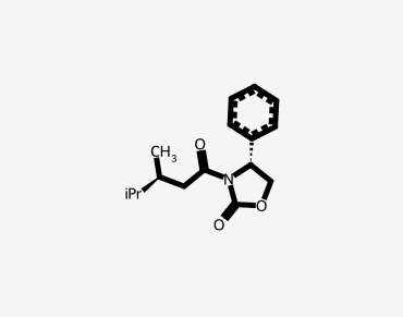 CC(C)[C@@H](C)CC(=O)N1C(=O)OC[C@H]1c1ccccc1